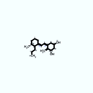 C=C1/C(=C\C=C2/CCC[C@@H](C)C2CCC)CC(O)C[C@@H]1O